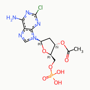 CC(=O)O[C@H]1C[C@H](n2cnc3c(N)nc(Cl)nc32)O[C@@H]1COP(=O)(O)O